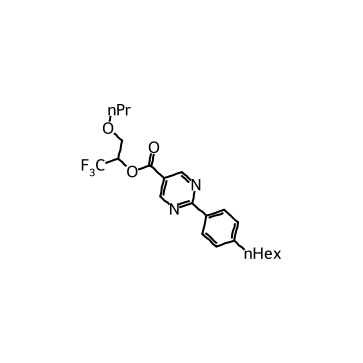 CCCCCCc1ccc(-c2ncc(C(=O)OC(COCCC)C(F)(F)F)cn2)cc1